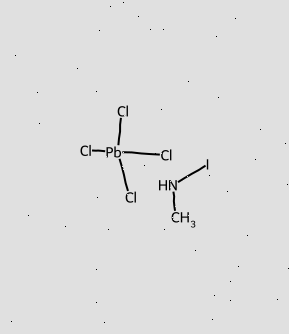 CNI.[Cl][Pb]([Cl])([Cl])[Cl]